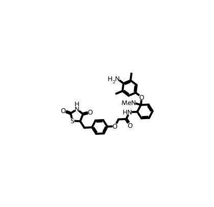 CNC1(Oc2cc(C)c(N)c(C)c2)C=CC=CC1NC(=O)COc1ccc(CC2SC(=O)NC2=O)cc1